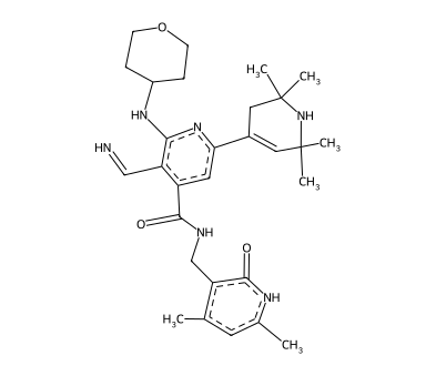 Cc1cc(C)c(CNC(=O)c2cc(C3=CC(C)(C)NC(C)(C)C3)nc(NC3CCOCC3)c2C=N)c(=O)[nH]1